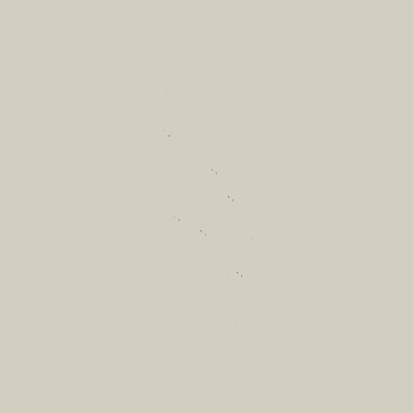 CCOC(=O)CNC(=O)c1nnc(C(=O)NCC(=O)OCC)nn1